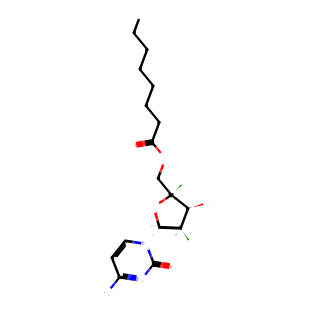 CCCCCCCC(=O)OC[C@@]1(Cl)O[C@@H](n2ccc(N)nc2=O)[C@H](F)[C@@H]1O